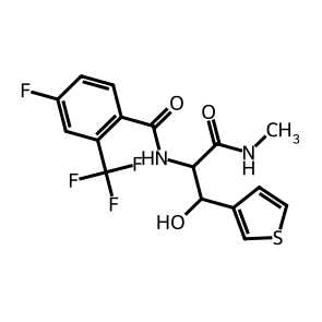 CNC(=O)C(NC(=O)c1ccc(F)cc1C(F)(F)F)C(O)c1ccsc1